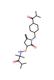 C=C1CC(SNC(C)(C)C(=O)C(C)C)C(=O)N1CC1CCC(C(=O)C(C)C)CC1